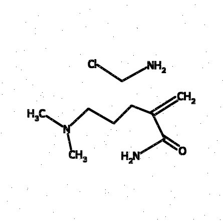 C=C(CCCN(C)C)C(N)=O.NCCl